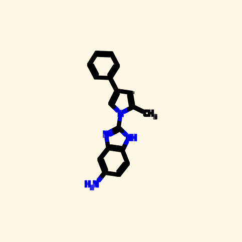 Cc1[c]c(-c2ccccc2)cn1-c1nc2cc(N)ccc2[nH]1